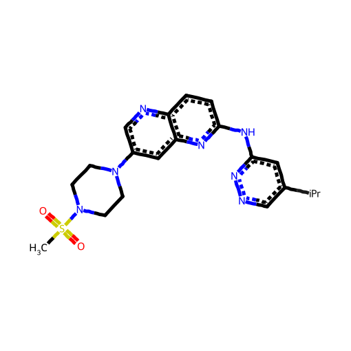 CC(C)c1cnnc(Nc2ccc3ncc(N4CCN(S(C)(=O)=O)CC4)cc3n2)c1